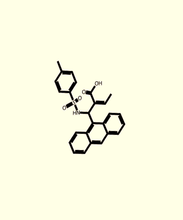 CC=C(C(=O)O)C(NS(=O)(=O)c1ccc(C)cc1)c1c2ccccc2cc2ccccc12